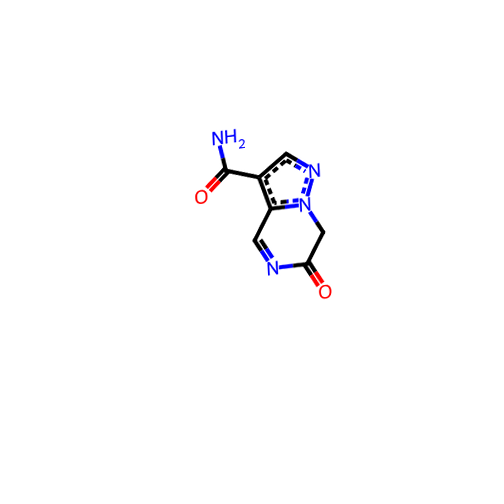 NC(=O)c1cnn2c1C=NC(=O)C2